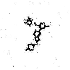 Cc1cc(-c2ccn3nc(Nc4ccc(C)nn4)cc3c2)c(OC[C@@]23CN[C@@H](CO2)C3)cn1